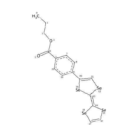 CCCOC(=O)c1ccc(C2=C[Se]C(=C3[Se]C=C[Se]3)[Se]2)cc1